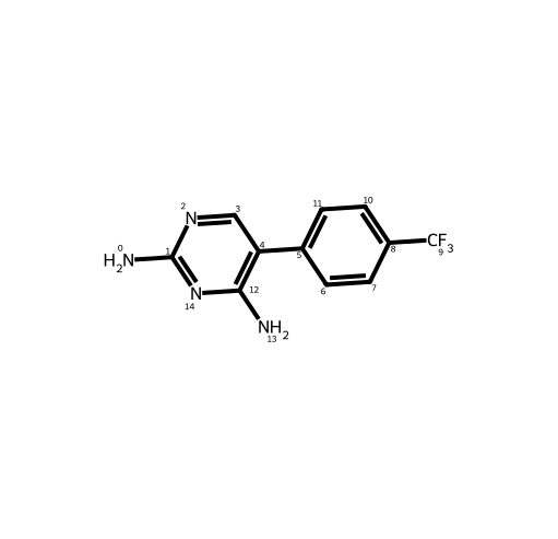 Nc1ncc(-c2ccc(C(F)(F)F)cc2)c(N)n1